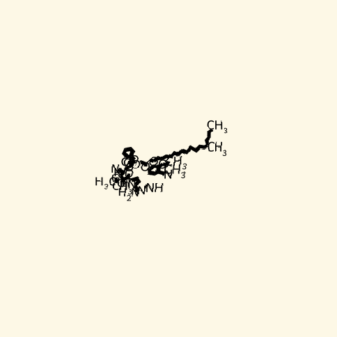 CCCCCC(C)CCCCCCCCCCCCOC[C@H](COP(=O)(OC[C@@]1(C#N)O[C@@H](c2ccc(/C(N)=N\C=N)[nH]2)[C@@H]2OC(C)(C)O[C@@H]21)Oc1ccccc1Cl)Oc1ccc(C#N)c(OC(C)C)c1